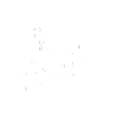 CC(C)OS(=O)(=O)N1CCN(S(=O)(=O)OC(C)C)CC1.O.O.O.O